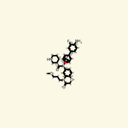 COCCCN1C(=O)COc2ccc(N(C(=O)[C@H]3CNCC[C@@H]3c3cccc(-c4ccc(N)c(F)c4)c3)C3CC3)cc21